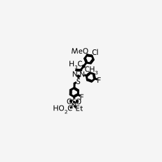 CCN(C(=O)O)S(=O)(=O)c1ccc(CSc2ncc(C(C)(C)c3ccc(Cl)c(OC)c3)n2-c2ccc(F)cc2)cc1F